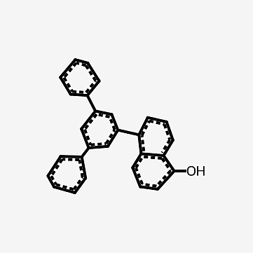 Oc1cccc2c(-c3cc(-c4ccccc4)cc(-c4ccccc4)c3)cccc12